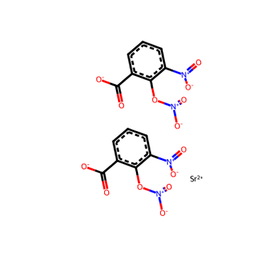 O=C([O-])c1cccc([N+](=O)[O-])c1O[N+](=O)[O-].O=C([O-])c1cccc([N+](=O)[O-])c1O[N+](=O)[O-].[Sr+2]